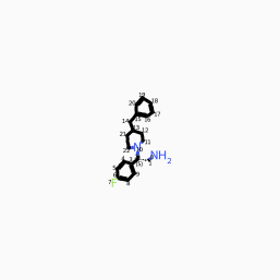 NC[C@H](c1ccc(F)cc1)N1CCC(Cc2ccccc2)CC1